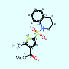 COC(=O)c1cc(S(=O)(=O)N2CCCc3ccccc32)sc1C